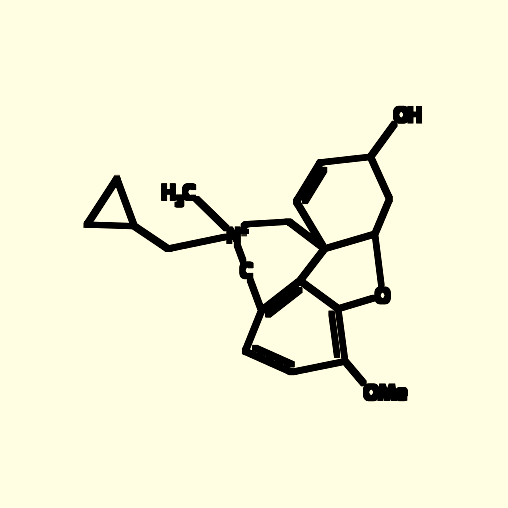 COc1ccc2c3c1OC1CC(O)C=CC31CC[N+](C)(CC1CC1)C2